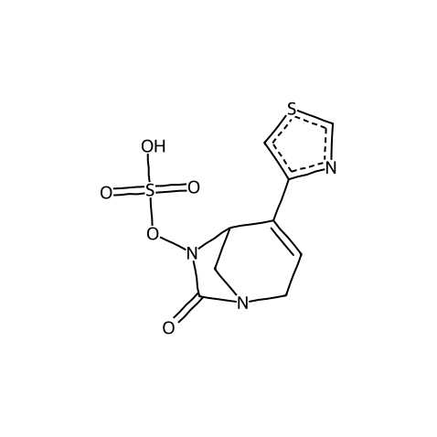 O=C1N2CC=C(c3cscn3)C(C2)N1OS(=O)(=O)O